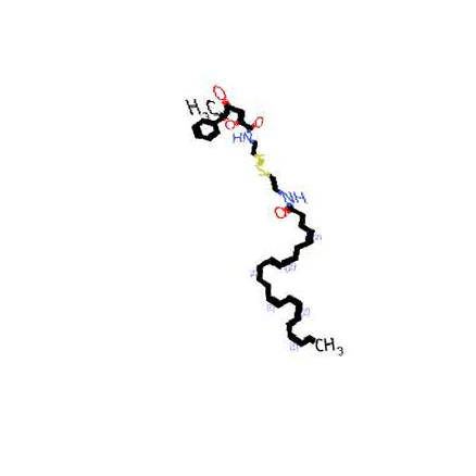 CC/C=C\C/C=C\C/C=C\C/C=C\C/C=C\C/C=C\CCC(=O)NCCSSCCNC(=O)C1=CC(=O)C(C)(c2ccccc2)O1